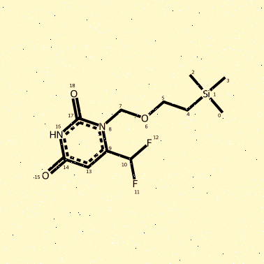 C[Si](C)(C)CCOCn1c(C(F)F)cc(=O)[nH]c1=O